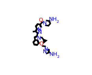 Cc1c(-c2cc3cccc(OCCn4cc(N)cn4)c3n2CC2CC2)nn2cc(C(=O)N3CCC[C@@H](N)C3)ccc12